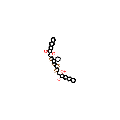 O=C1C(=Cc2cc3c(s2)-c2sc4c(sc5cc(/C=C6/C(=O)c7cc8cc9ccccc9cc8cc7C6O)sc54)c2C32CCCCC2)C(=O)c2cc3cc4ccccc4cc3cc21